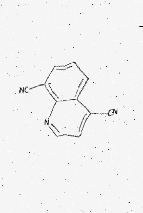 N#Cc1ccnc2c(C#N)cccc12